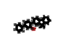 CC1(C)c2ccccc2-c2ccc(-c3ccc(-c4ccccc4)cc3Br)cc21